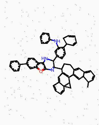 CC1C=CC=C2C=C3CCC(C4=Nc5oc6cc(-c7ccccc7)ccc6c5NC4c4ccc(C5C=CC=CC5)c(Nc5ccccc5)c4)C4=C(C3=CC21)C1CC12C=CC=CC2=C4